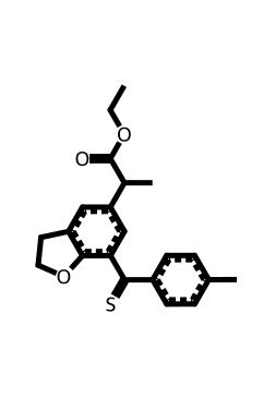 CCOC(=O)C(C)c1cc2c(c(C(=S)c3ccc(C)cc3)c1)OCC2